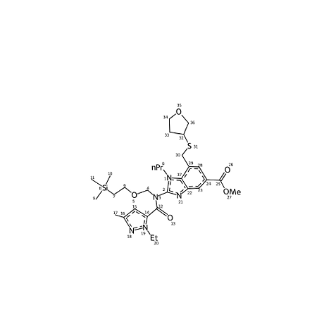 CCCn1c(N(COCC[Si](C)(C)C)C(=O)c2cc(C)nn2CC)nc2cc(C(=O)OC)cc(CSC3CCOC3)c21